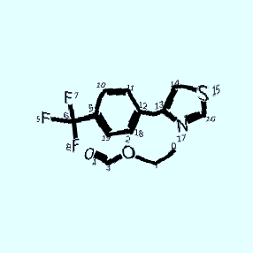 CCOC=O.FC(F)(F)c1ccc(-c2cscn2)cc1